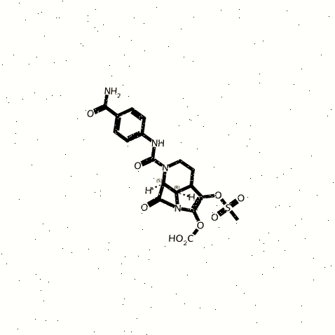 CS(=O)(=O)OC1=C(OC(=O)O)N2C(=O)[C@@H]3[C@H]2C1CCN3C(=O)Nc1ccc(C(N)=O)cc1